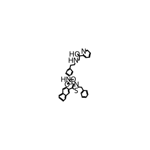 O=S(=O)(Nc1ccc(CCNCC(O)c2ccccn2)cc1)c1nc(Cc2ccccc2)sc1-c1ccc2ccccc2c1